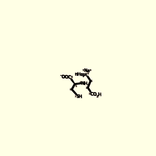 CCCCCCCCCC(=O)O.N[C@@H](CS)C(=O)[O-].[Na+]